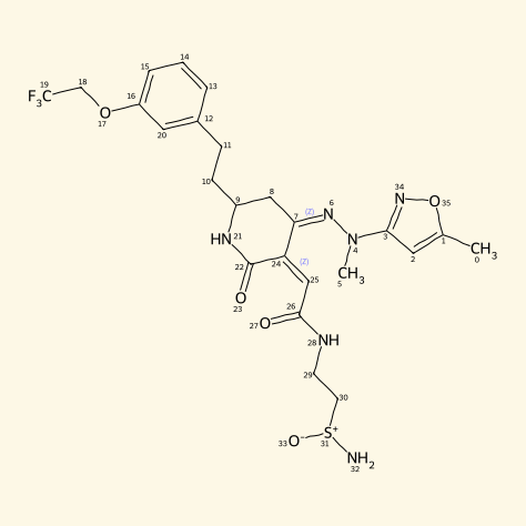 Cc1cc(N(C)/N=C2/CC(CCc3cccc(OCC(F)(F)F)c3)NC(=O)/C2=C\C(=O)NCC[S+](N)[O-])no1